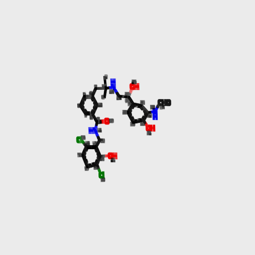 CC(C)(Cc1cccc(C(=O)NCc2c(Cl)ccc(Cl)c2O)c1)NC[C@H](O)c1ccc(O)c(NC=O)c1